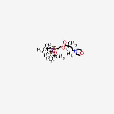 CC(C)(C)CP(=S)(OC(C)(C)C)SCCOC(=O)C(C)(C)CCN1CCOCC1